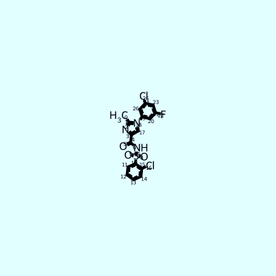 Cc1nc(C(=O)NS(=O)(=O)c2ccccc2Cl)cn1-c1cc(F)cc(Cl)c1